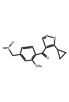 CSc1cc(C[S+](C)[O-])ccc1C(=O)c1cnoc1C1CC1